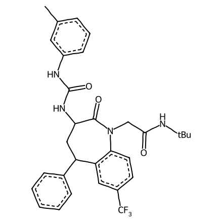 Cc1cccc(NC(=O)NC2CC(c3ccccc3)c3cc(C(F)(F)F)ccc3N(CC(=O)NC(C)(C)C)C2=O)c1